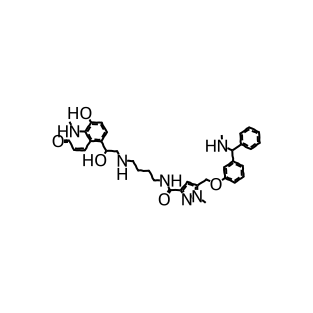 CNc1c(O)ccc(C(O)CNCCCCNC(=O)c2cc(COc3cccc(C(NC)c4ccccc4)c3)n(C)n2)c1/C=C\C=O